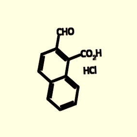 Cl.O=Cc1ccc2ccccc2c1C(=O)O